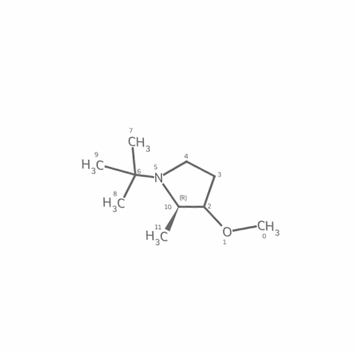 COC1CCN(C(C)(C)C)[C@@H]1C